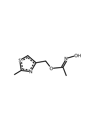 CC(=NO)OCc1csc(C)n1